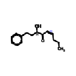 CCC/C=C\C(=O)[C@H](O)CCc1ccccc1